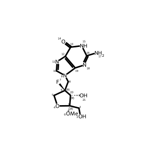 CO[C@]1(CO)OC[C@](F)(Cn2cnc3c(=O)[nH]c(N)nc32)[C@@H]1O